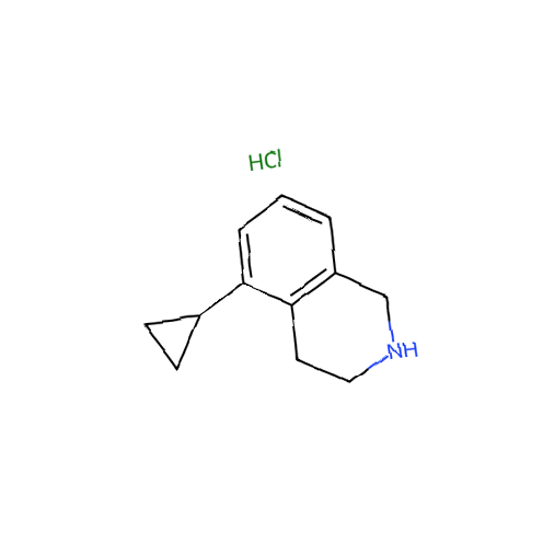 Cl.c1cc2c(c(C3CC3)c1)CCNC2